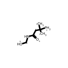 CC(C)(P)CC(=O)NCO